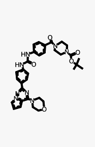 CC(C)(C)OC(=O)N1CCN(C(=O)c2ccc(NC(=O)Nc3ccc(-c4nc(N5CCOCC5)c5cccn5n4)cc3)cc2)CC1